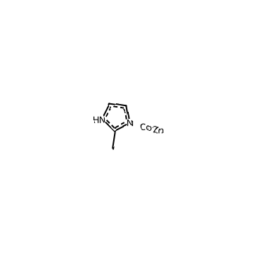 Cc1ncc[nH]1.[Co].[Zn]